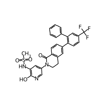 CS(=O)(=O)Nc1cc(N2CCc3cc(-c4ccc(C(F)(F)F)cc4-c4ccccc4)ccc3C2=O)cnc1O